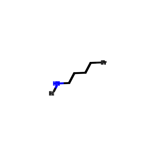 CCNCCCCC(C)C